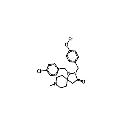 CCOc1ccc(CN2C(=O)CC3(CCN(C)CC3)N2Cc2ccc(Cl)cc2)cc1